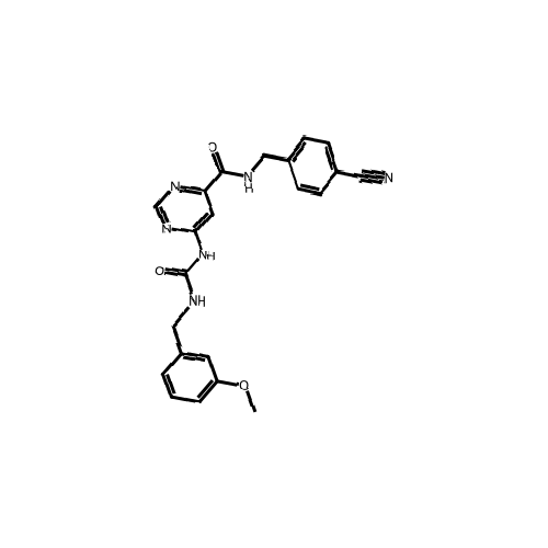 COc1cccc(CNC(=O)Nc2cc(C(=O)NCc3ccc(C#N)cc3)ncn2)c1